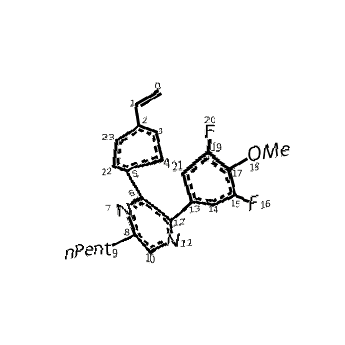 C=Cc1ccc(-c2nc(CCCCC)cnc2-c2cc(F)c(OC)c(F)c2)cc1